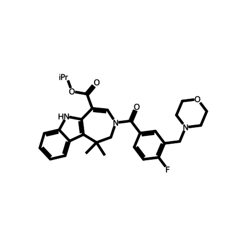 CC(C)OC(=O)C1=CN(C(=O)c2ccc(F)c(CN3CCOCC3)c2)CC(C)(C)c2c1[nH]c1ccccc21